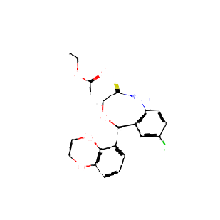 CCOC(=O)C[C@H]1O[C@H](c2cccc3c2OCCO3)c2cc(Cl)ccc2NC1=S